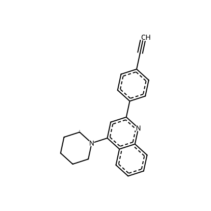 C#Cc1ccc(-c2cc(N3[CH]CCCC3)c3ccccc3n2)cc1